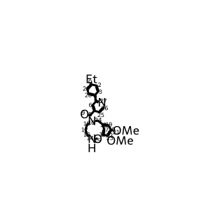 CCc1ccc(-c2cc(C(=O)N3CCCNOc4cc(cc(OC)c4OC)C3)ccn2)cc1